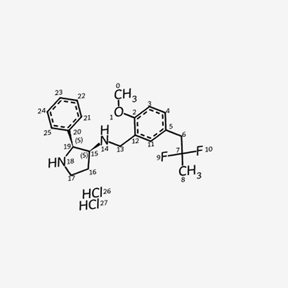 COc1ccc(CC(C)(F)F)cc1CN[C@H]1CCN[C@H]1c1ccccc1.Cl.Cl